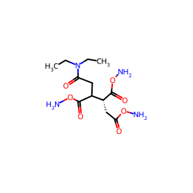 CCN(CC)C(=O)CC(C(=O)ON)[C@@H](CC(=O)ON)C(=O)ON